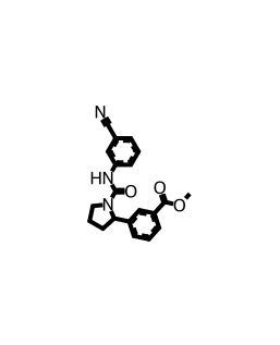 COC(=O)c1cccc(C2CCCN2C(=O)Nc2cccc(C#N)c2)c1